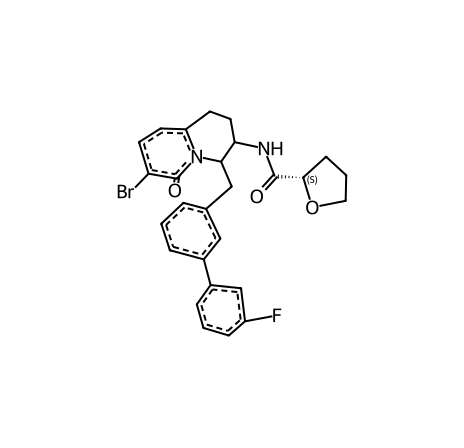 O=C(NC1CCc2ccc(Br)c(=O)n2C1Cc1cccc(-c2cccc(F)c2)c1)[C@@H]1CCCO1